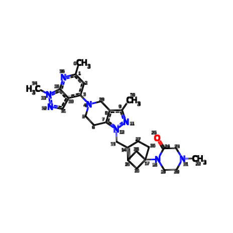 Cc1cc(N2CCc3c(c(C)nn3CC3=C4CC(N5CCN(C)CC5=O)(CC3)C4)C2)c2cnn(C)c2n1